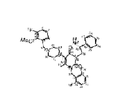 COc1c(F)cccc1CN1CCN(c2c(C)n(Cc3c(F)cccc3F)c(=O)n(C[C@H](N)c3ccccc3)c2=O)CC1